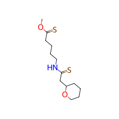 COC(=S)CCCCNC(=S)CC1CCCCO1